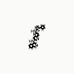 c1ccc2c(Nc3cnc4ccc(Nc5nnc(C6CCCC6)s5)nc4c3)cncc2c1